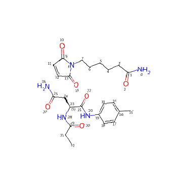 NC(=O)CCCCCN1C(=O)C=CC1=O.[CH2]c1ccc(NC(=O)[C@H](CC(N)=O)NC(=O)CC)cc1